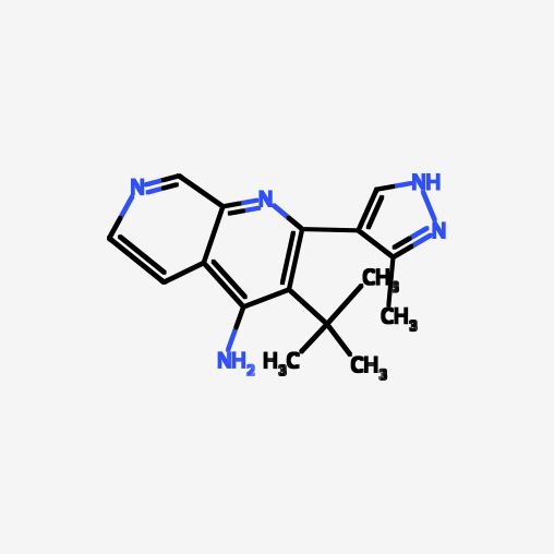 Cc1n[nH]cc1-c1nc2cnccc2c(N)c1C(C)(C)C